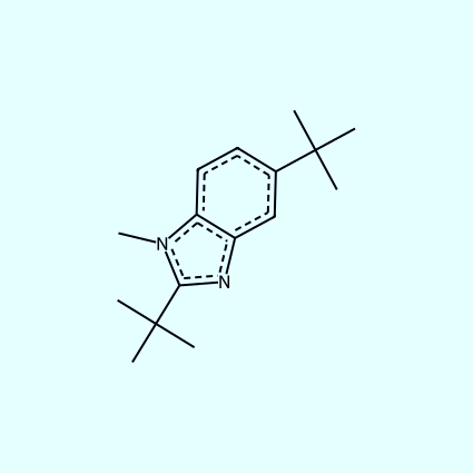 Cn1c(C(C)(C)C)nc2cc(C(C)(C)C)ccc21